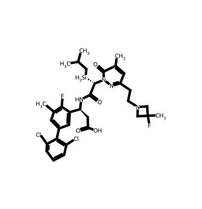 Cc1cc(-c2c(Cl)cccc2Cl)cc([C@H](CC(=O)O)NC(=O)[C@H]([SiH2]CC(C)C)n2nc(CCN3CC(C)(F)C3)cc(C)c2=O)c1F